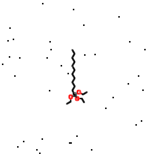 CCCCCCCCCCC[Si](OCC)(OCC)OCC